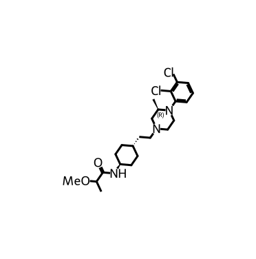 COC(C)C(=O)N[C@H]1CC[C@H](CCN2CCN(c3cccc(Cl)c3Cl)[C@H](C)C2)CC1